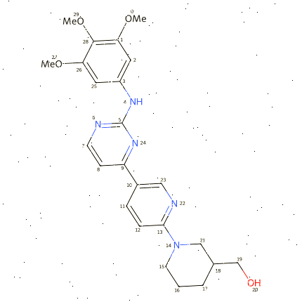 COc1cc(Nc2nccc(-c3ccc(N4CCCC(CO)C4)nc3)n2)cc(OC)c1OC